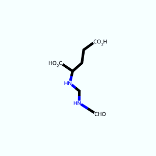 O=CNCNC(CCC(=O)O)C(=O)O